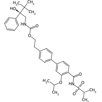 CC(C)Oc1cc(-c2ccc(CCOC(=O)NC[C@](O)(c3ccccc3)C(C)(C)C)cc2)ccc1C(=O)NS(=O)(=O)C(C)C